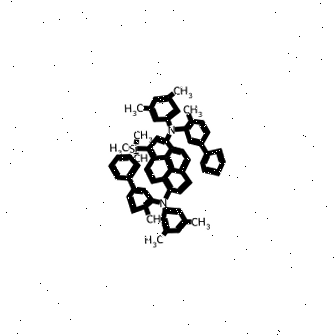 Cc1cc(C)cc(N(c2cc(-c3ccccc3)ccc2C)c2ccc3ccc4c(N(c5cc(C)cc(C)c5)c5cc(-c6ccccc6)ccc5C)cc([Si](C)(C)C)c5ccc2c3c45)c1